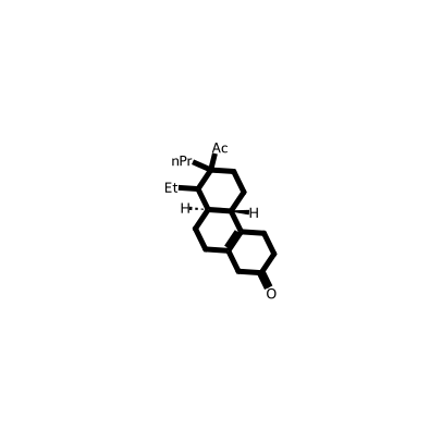 CCCC1(C(C)=O)CC[C@@H]2C3=C(CC[C@H]2C1CC)CC(=O)CC3